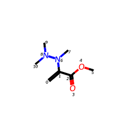 C=C(C(=O)OC)N(C)N(C)C